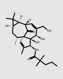 CCCC(C)(C)C(=O)N[C@H]1C(C)=C[C@]23C(=O)[C@@H](C=C(CO)[C@@H](O)[C@]12O)[C@H]1[C@@H](C[C@H]3C)C1(C)C